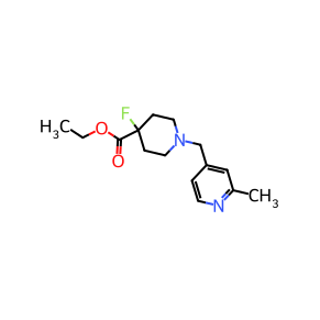 CCOC(=O)C1(F)CCN(Cc2ccnc(C)c2)CC1